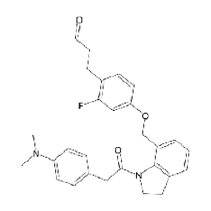 CN(C)c1ccc(CC(=O)N2CCc3cccc(COc4ccc(CCC=O)c(F)c4)c32)cc1